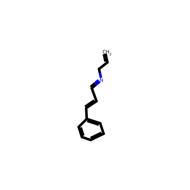 C=CCN=C/C=C/c1ccccc1